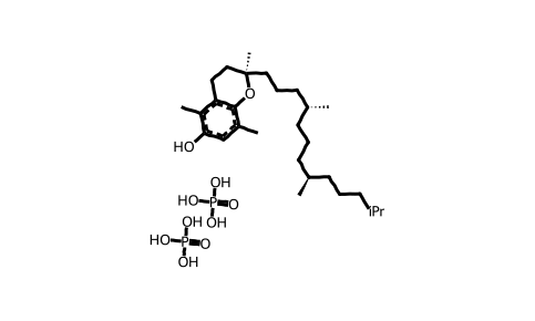 Cc1cc(O)c(C)c2c1O[C@](C)(CCC[C@H](C)CCC[C@H](C)CCCC(C)C)CC2.O=P(O)(O)O.O=P(O)(O)O